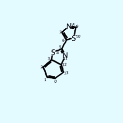 c1ccc2sc(-c3cncs3)nc2c1